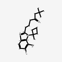 CC(C)(C)CC(=O)CCCc1nc2ccc(F)c(Br)c2n1C1(C)CCC1